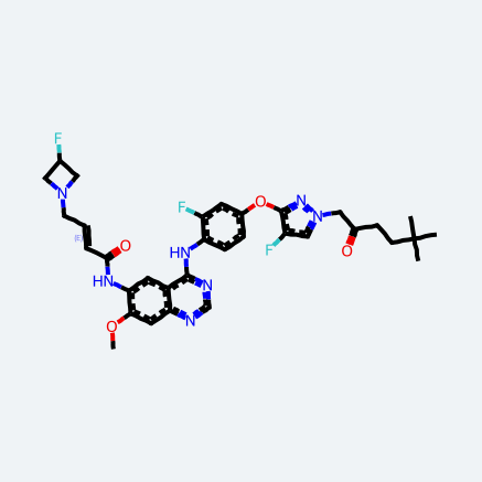 COc1cc2ncnc(Nc3ccc(Oc4nn(CC(=O)CCC(C)(C)C)cc4F)cc3F)c2cc1NC(=O)/C=C/CN1CC(F)C1